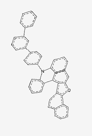 c1ccc(-c2cccc(-c3ccc(N(c4ccccc4)c4ccccc4-c4cccc5oc6c7ccccc7ccc6c45)cc3)c2)cc1